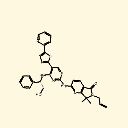 C=CCN1C(=O)c2ccc(Nc3ncc(-c4nnc(-c5ccccn5)o4)c(N[C@H](CO)c4ccccc4)n3)nc2C1(C)C